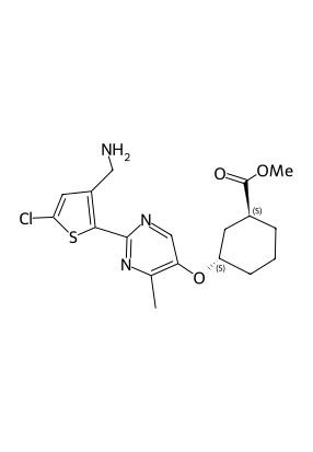 COC(=O)[C@H]1CCC[C@H](Oc2cnc(-c3sc(Cl)cc3CN)nc2C)C1